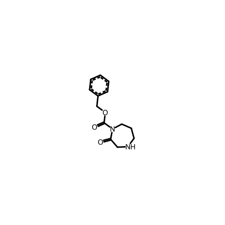 O=C1CNCCCN1C(=O)OCc1ccccc1